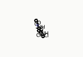 Cc1c(/C=C/S(=O)(=O)c2ccccc2)[nH]c(=O)c2c1ccc1nc(Nc3c(Cl)cccc3Cl)n(C)c12